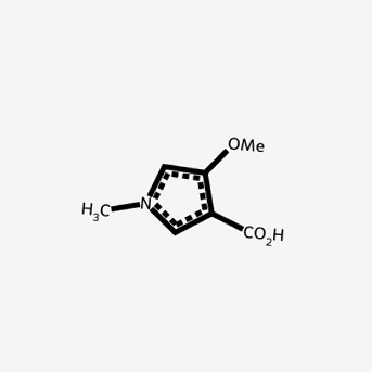 COc1cn(C)cc1C(=O)O